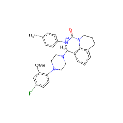 COc1cc(F)ccc1N1CCN(C(C)c2cccc3c2N(C(=O)Nc2ccc(C)cc2)CCC3)CC1